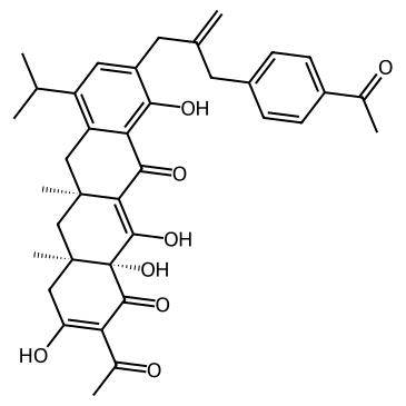 C=C(Cc1ccc(C(C)=O)cc1)Cc1cc(C(C)C)c2c(c1O)C(=O)C1=C(O)[C@@]3(O)C(=O)C(C(C)=O)=C(O)C[C@@]3(C)C[C@@]1(C)C2